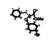 COC(=O)[C@@H](Cc1ccccc1)Oc1ccc(Br)cc1